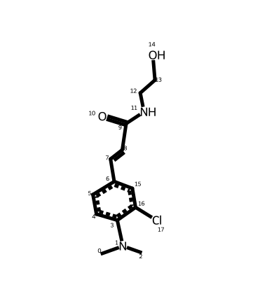 CN(C)c1ccc(/C=C/C(=O)NCCO)cc1Cl